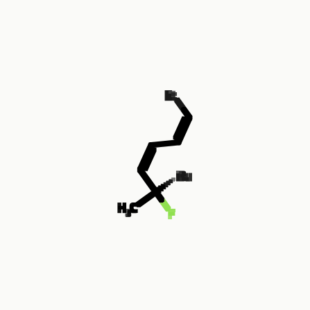 CC/C=C\C=C/C(C)(F)[C@@H](C)CC